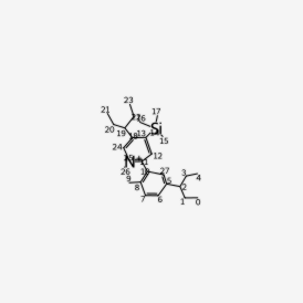 CCC(CC)c1ccc(C)c(-c2cc([Si](C)(C)C)c(C(CC)CC)c[n+]2C)c1